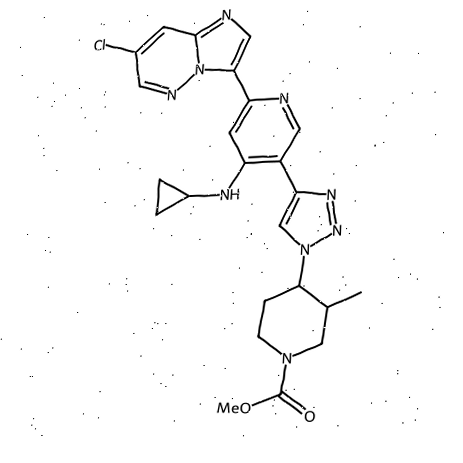 COC(=O)N1CCC(n2cc(-c3cnc(-c4cnc5cc(Cl)cnn45)cc3NC3CC3)nn2)C(C)C1